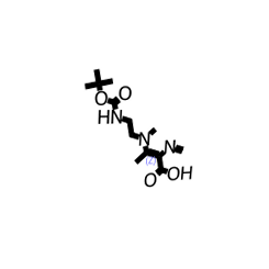 C=N/C(C(=O)O)=C(/C)N(C)CCNC(=O)OC(C)(C)C